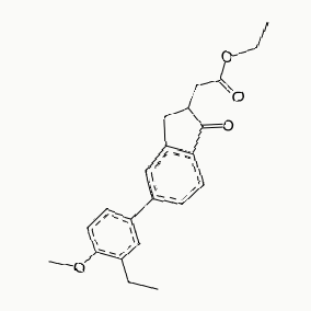 CCOC(=O)CC1Cc2cc(-c3ccc(OC)c(CC)c3)ccc2C1=O